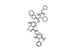 CCCC(NC(=O)[C@@H]1CC2(CN1C(=O)[C@@H](NC(=O)CC1CCCC1)C1CCCCC1)SCCCS2)C(=O)C(=O)NCC(=O)NC(C(=O)N(C)C)c1ccccc1